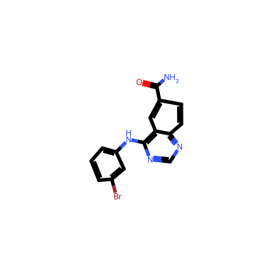 NC(=O)c1ccc2ncnc(Nc3cccc(Br)c3)c2c1